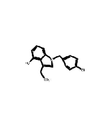 O=C(O)Cc1cn(Cc2ccc(O)cc2)c2cccc(O)c12